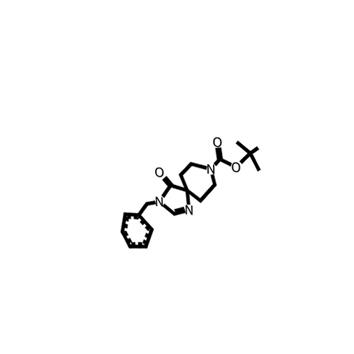 CC(C)(C)OC(=O)N1CCC2(CC1)N=CN(Cc1ccccc1)C2=O